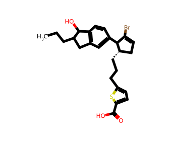 CCCC1Cc2cc(C3C(Br)=CC[C@@H]3CCCc3ccc(C(=O)O)s3)ccc2C1O